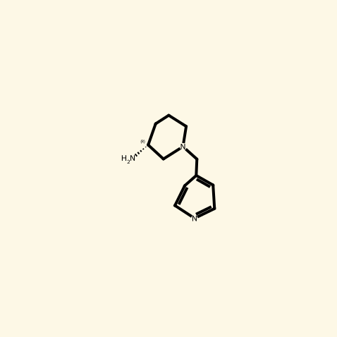 N[C@@H]1CCCN(Cc2ccncc2)C1